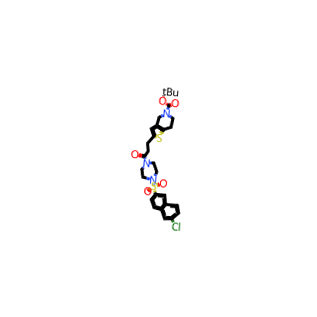 CC(C)(C)OC(=O)N1CCc2sc(CCC(=O)N3CCN(S(=O)(=O)c4ccc5cc(Cl)ccc5c4)CC3)cc2C1